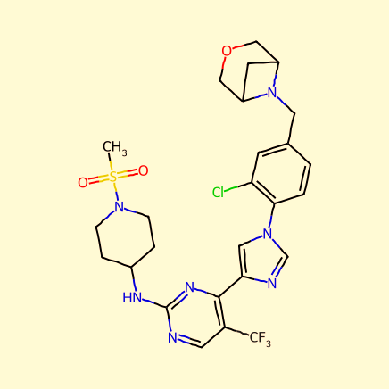 CS(=O)(=O)N1CCC(Nc2ncc(C(F)(F)F)c(-c3cn(-c4ccc(CN5C6COCC5C6)cc4Cl)cn3)n2)CC1